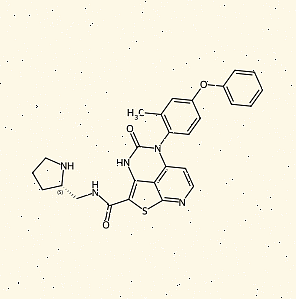 Cc1cc(Oc2ccccc2)ccc1N1C(=O)Nc2c(C(=O)NC[C@@H]3CCCN3)sc3nccc1c23